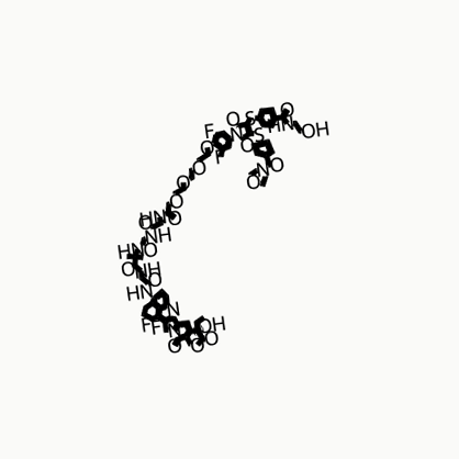 CC[C@@]1(O)C(=O)OCc2c1cc1n(c2=O)Cc2c-1nc1ccc(NC(=O)CNC(=O)C(C)(C)NC(=O)CNC(=O)CNC(=O)COCCOCCOCCOc3c(F)cc(N4C(=O)C(Sc5ccc(C(=O)NCCO)cc5)=C(Sc5ccc(C(=O)N6CCOCC6)cc5)C4=O)cc3F)c3c1c2C(F)(F)CC3